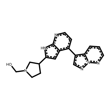 OCN1CCC(c2cc3c(-c4cnn5ncccc45)ccnc3[nH]2)C1